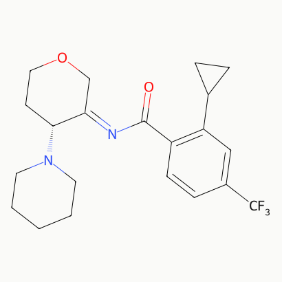 O=C(/N=C1\COCC[C@H]1N1CCCCC1)c1ccc(C(F)(F)F)cc1C1CC1